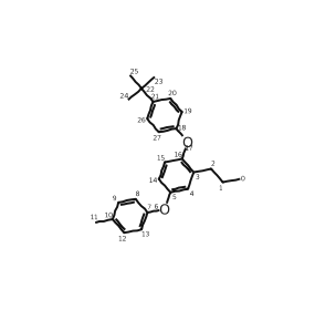 CCCc1cc(Oc2ccc(C)cc2)ccc1Oc1ccc(C(C)(C)C)cc1